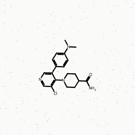 CN(C)c1ccc(-c2cncc(Cl)c2N2CCC(C(N)=O)CC2)cc1